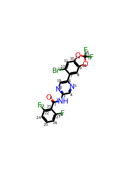 O=C(Nc1cnc(-c2cc3c(cc2Br)OC(F)(F)O3)cn1)c1c(F)cccc1F